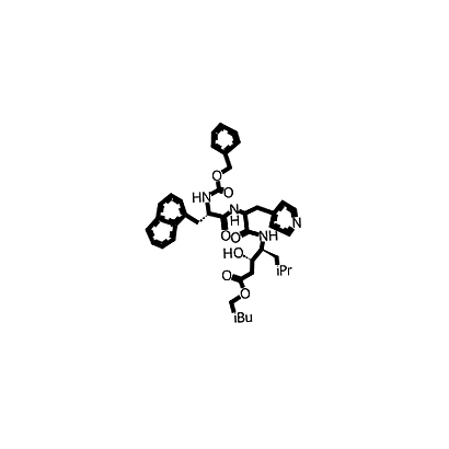 CCC(C)COC(=O)C[C@H](O)[C@H](CC(C)C)NC(=O)C(Cc1ccncc1)NC(=O)[C@H](Cc1cccc2ccccc12)NC(=O)OCc1ccccc1